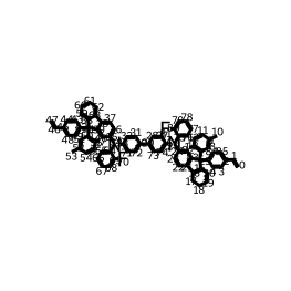 C=Cc1ccc(C2(c3cc(C)ccc3C)C3=C(CCC=C3)c3ccc(N(c4ccc(-c5ccc(N(c6ccc7c(c6)C(c6ccc(C=C)cc6)(c6cc(C)ccc6C)c6ccccc6-7)c6ccccc6F)cc5)cc4)c4ccccc4F)cc32)cc1